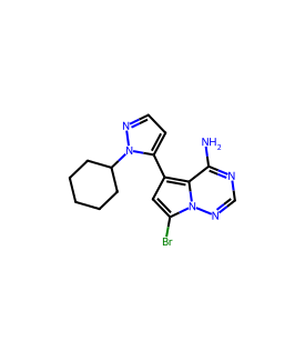 Nc1ncnn2c(Br)cc(-c3ccnn3C3CCCCC3)c12